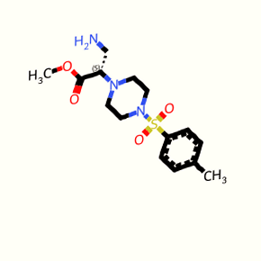 COC(=O)[C@H](CN)N1CCN(S(=O)(=O)c2ccc(C)cc2)CC1